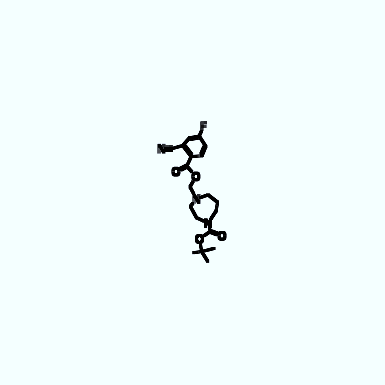 CC(C)(C)OC(=O)N1CCCN(COC(=O)c2ccc(F)cc2C#N)CC1